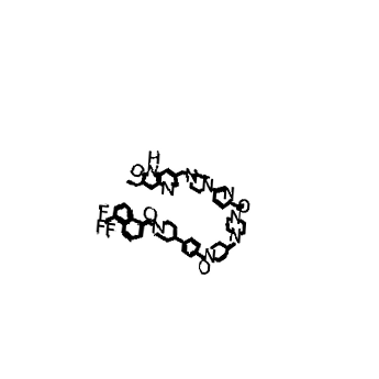 CCc1cc2ncc(CN3CCN(c4ccc(C(=O)N5CCN(CC6CCN(C(=O)c7ccc(C8CCN(C(=O)c9cccc%10c(C(F)(F)F)cccc9%10)CC8)cc7)CC6)CC5)nc4)CC3)cc2[nH]c1=O